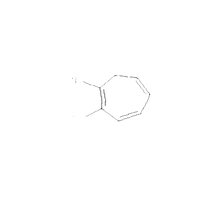 N#CC1=C(C(F)(F)F)C=CC=CC1